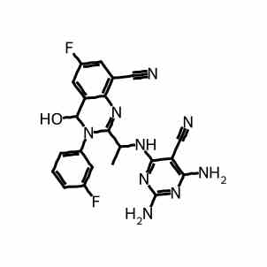 CC(Nc1nc(N)nc(N)c1C#N)C1=Nc2c(C#N)cc(F)cc2C(O)N1c1cccc(F)c1